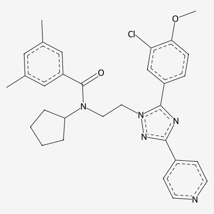 COc1ccc(-c2nc(-c3ccncc3)nn2CCN(C(=O)c2cc(C)cc(C)c2)C2CCCC2)cc1Cl